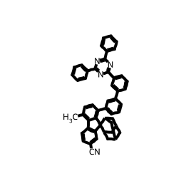 Cc1ccc(-c2cccc(-c3cccc(-c4nc(-c5ccccc5)nc(-c5ccccc5)n4)c3)c2)c2c1-c1ccc(C#N)cc1C21C2CC3CC(C2)CC1C3